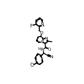 Cc1nc2c(OCc3ncccc3F)cccn2c1C(=O)NC(C#N)c1ccc(Cl)cc1